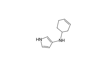 C1=CCC(Nc2cc[nH]c2)CC1